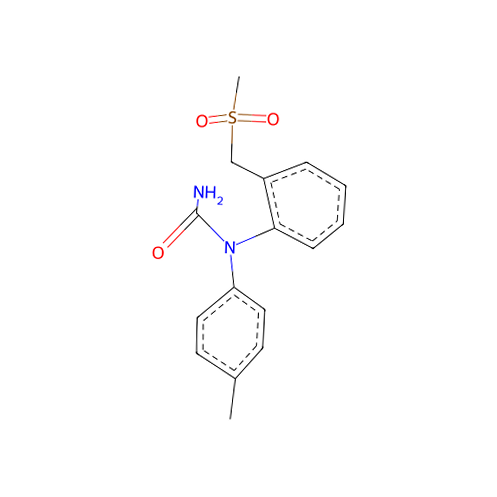 Cc1ccc(N(C(N)=O)c2ccccc2CS(C)(=O)=O)cc1